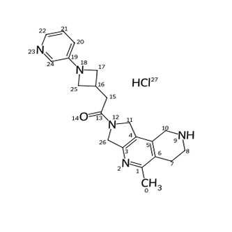 Cc1nc2c(c3c1CCNC3)CN(C(=O)CC1CN(c3cccnc3)C1)C2.Cl